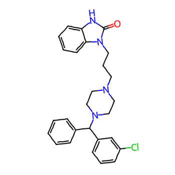 O=c1[nH]c2ccccc2n1CCCN1CCN(C(c2ccccc2)c2cccc(Cl)c2)CC1